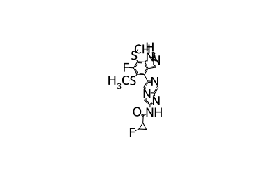 CSc1c(F)c(SC)c2[nH]ncc2c1-c1cn2cc(NC(=O)C3CC3F)nc2cn1